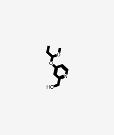 CCC(OC)Oc1ccnc(CO)c1